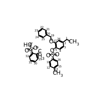 CCc1ccc(OS(=O)(=O)c2ccc(C)cc2)c(OCc2ccccc2)c1.Cc1ccccc1S(=O)(=O)O